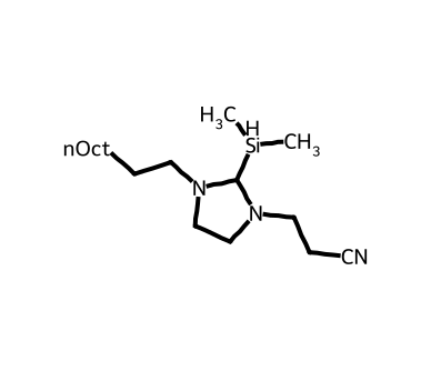 CCCCCCCCCCN1CCN(CCC#N)C1[SiH](C)C